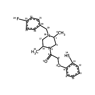 CC1CN(C(=O)COc2ccccc2S)C(C)CN1Cc1ccc(F)cc1